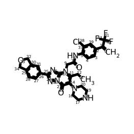 C=C(c1ccc(NC(=O)Cn2c(CC)c(N3CCNCC3)c(=O)n3nc(-c4ccc5c(c4)COC5)nc23)c(Cl)c1)C(F)(F)F